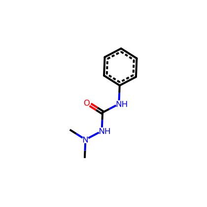 CN(C)NC(=O)Nc1ccccc1